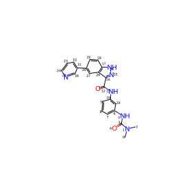 CN(C)C(=O)Nc1cccc(NC(=O)c2n[nH]c3ccc(-c4cccnc4)cc23)c1